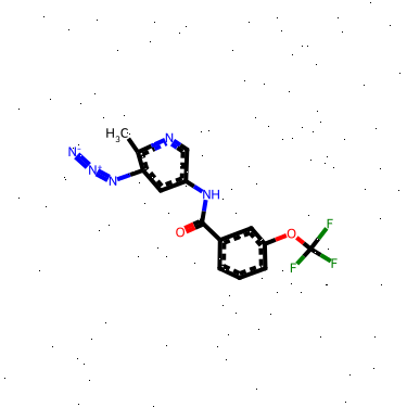 Cc1ncc(NC(=O)c2cccc(OC(F)(F)F)c2)cc1N=[N+]=[N-]